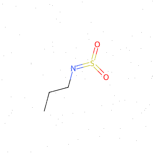 CCCN=S(=O)=O